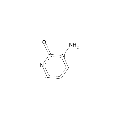 Nn1cc[c]nc1=O